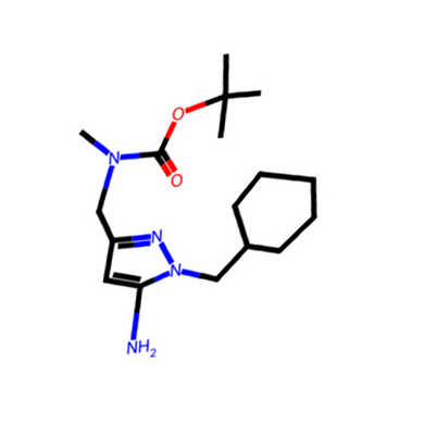 CN(Cc1cc(N)n(CC2CCCCC2)n1)C(=O)OC(C)(C)C